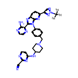 [2H]C([2H])([2H])n1ncc(-c2ccc3nc(-c4nccnc4N)n(-c4ccc(CN5CCC(Nc6ccnc(C#N)n6)CC5)cc4)c3n2)n1